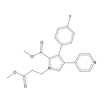 COC(=O)CCn1cc(-c2ccncc2)c(-c2ccc(F)cc2)c1C(=O)OC